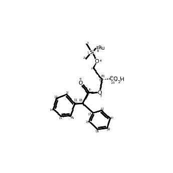 CC(C)(C)[Si](C)(C)OC[C@@H](OC(=O)C(c1ccccc1)c1ccccc1)C(=O)O